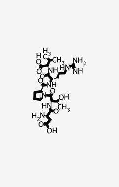 CC(C)[C@H](NC(=O)[C@H](CCCNC(=N)N)NC(=O)[C@@H]1CCCN1C(=O)[C@@H](NC(=O)[C@@H](N)CC(=O)O)[C@@H](C)O)C(=O)O